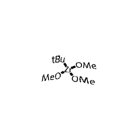 C[O][Zr]([O]C)([O]C)[C](C)(C)C